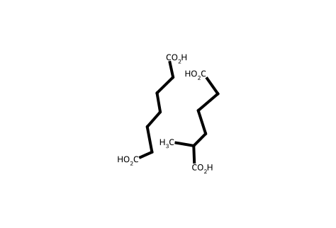 CC(CCCC(=O)O)C(=O)O.O=C(O)CCCCCC(=O)O